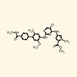 CNC(=O)c1ccc(-c2cc(OC)c(Nc3ncc(Cl)c(Nc4cc(C(=O)OC)n(C)c4)n3)cc2C)cc1